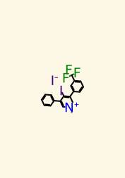 C[n+]1cc(-c2ccccc2)c(I)c(-c2cccc(C(F)(F)F)c2)c1.[I-]